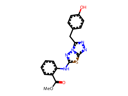 COC(=O)c1ccccc1Nc1nn2c(Cc3ccc(O)cc3)nnc2s1